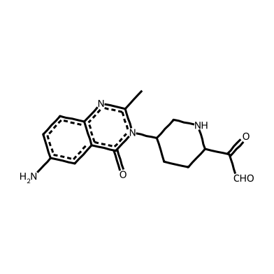 Cc1nc2ccc(N)cc2c(=O)n1C1CCC(C(=O)C=O)NC1